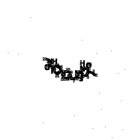 CCc1cc2sc(CN3CCN(c4ccc(C(=O)NC)nc4)CC3)nc2[nH]c1=O